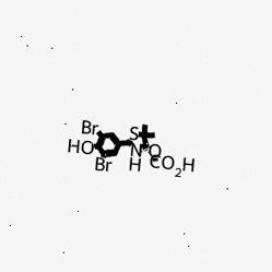 CC1(C)SC(c2cc(Br)c(O)c(Br)c2)N[C@H]1OC(=O)O